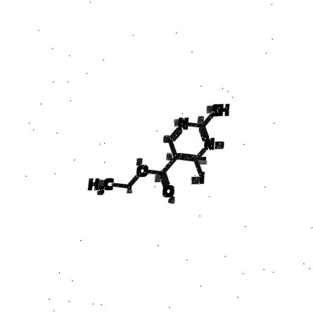 CCOC(=O)c1cnc(S)nc1I